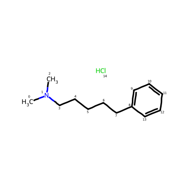 CN(C)CCCCCc1ccccc1.Cl